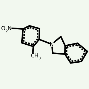 Cc1cc([N+](=O)[O-])ccc1N1Cc2ccccc2C1